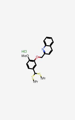 CCCSC(SCCC)c1ccc(OC)c(OCc2ccc3ccccc3n2)c1.Cl